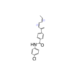 C=C(/C=C\C=C/C)c1ccc(C(=O)Nc2ccc(Cl)cc2)cc1